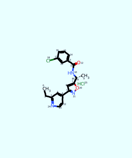 CCc1cc(-c2cc([C@@H](C)NC(=O)c3cccc(Cl)c3)on2)ccn1.Cl